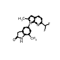 Cc1cc(-n2c(C)cc3ccc(C(F)F)nc32)cc2c1NC(=O)C2